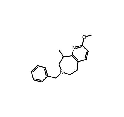 COc1ccc2c(n1)C(C)CN(Cc1ccccc1)CC2